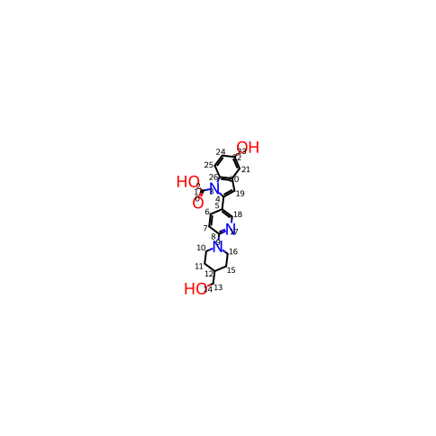 O=C(O)n1c(-c2ccc(N3CCC(CO)CC3)nc2)cc2cc(O)ccc21